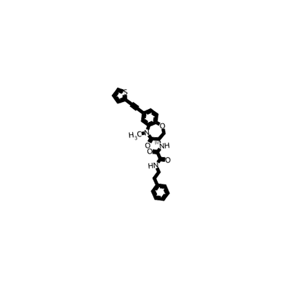 CN1C(=O)[C@@H](NC(=O)C(=O)NCCc2ccccc2)COc2ccc(C#Cc3cccs3)cc21